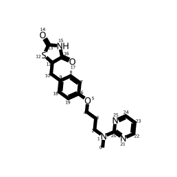 CN(CCCOc1ccc(CC2SC(=O)NC2=O)cc1)c1ncccn1